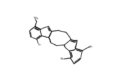 CC(C)c1ccc(C(C)C)c2c1C=C1CCC3=Cc4c(C(C)C)ccc(C(C)C)c4C3CCC12